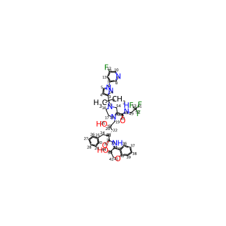 CC(C)(c1ccn(-c2cncc(F)c2)n1)N1CCN(C[C@@H](O)C[C@@H](Cc2ccccc2)C(=O)N[C@H]2c3ccccc3OC[C@H]2O)[C@H](C(=O)NCC(F)(F)F)C1